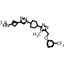 Cn1c(COc2cccc(C(F)(F)F)c2)nnc1C1CCC(n2cc(C34CC(NC(=O)O)(C3)C4)nn2)CC1